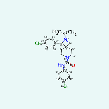 CC(C)N1CC2(CCN(C(=O)Nc3ccc(Br)cc3)CC2)C1c1ccc(Cl)cc1